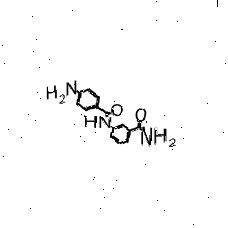 NC(=O)c1cccc(NC(=O)c2ccc(N)cc2)c1